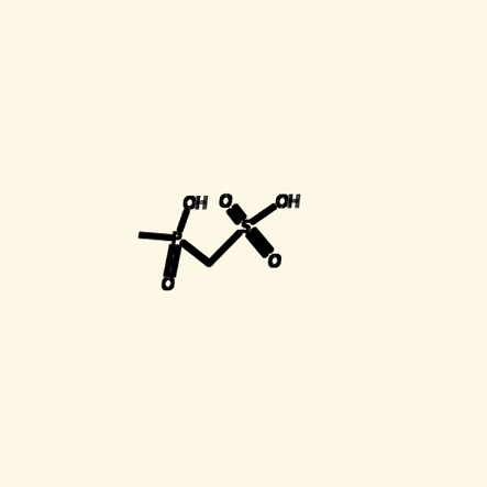 CP(=O)(O)CS(=O)(=O)O